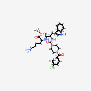 CC(C)(C)OC(=O)C(CCCCN)NC(=O)C(Cc1c[nH]c2ccccc12)NC(=O)N1CCN(C(=O)c2ccc(Cl)cc2)CC1